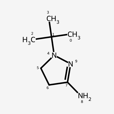 CC(C)(C)N1CCC(N)=N1